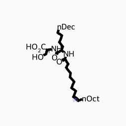 CCCCCCCC/C=C\CCCCCCCC(=O)NC(CCCCCCCCCCCCCC)C(=O)N[C@@H](CO)C(=O)O